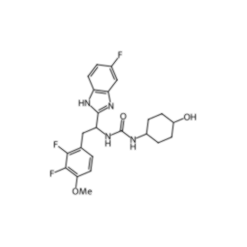 COc1ccc(CC(NC(=O)NC2CCC(O)CC2)c2nc3cc(F)ccc3[nH]2)c(F)c1F